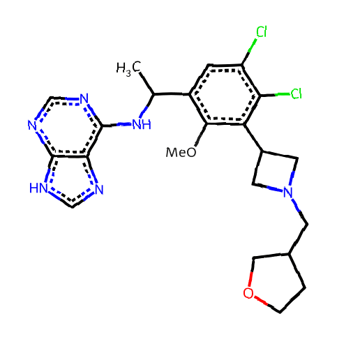 COc1c(C(C)Nc2ncnc3[nH]cnc23)cc(Cl)c(Cl)c1C1CN(CC2CCOC2)C1